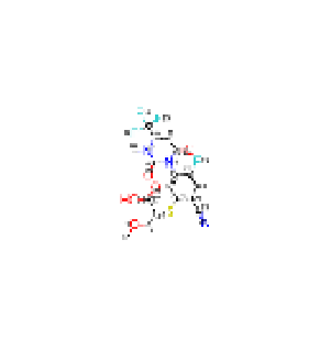 COCC(Sc1cc(-n2c(=O)cc(C(F)(F)F)n(C)c2=O)c(F)cc1C#N)C(=O)O